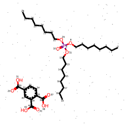 CCCCCCCCOP(=O)(OCCCCCCCC)OCCCCCCCC.O=C(O)c1ccc(C(=O)O)c(C(=O)O)c1